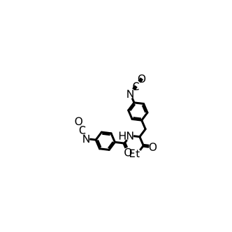 CCC(=O)C(Cc1ccc(N=C=O)cc1)NC(=O)c1ccc(N=C=O)cc1